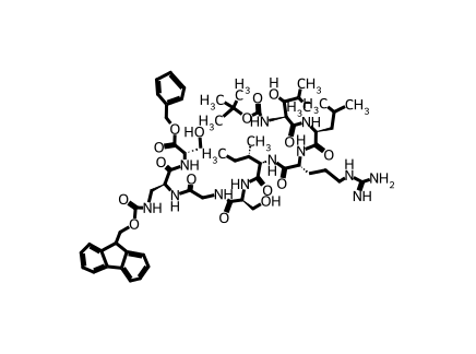 CC[C@H](C)[C@H](NC(=O)[C@@H](CCCNC(=N)N)NC(=O)[C@H](CC(C)C)NC(=O)[C@@H](NC(=O)OC(C)(C)C)C(O)C(C)C)C(=O)N[C@@H](CO)C(=O)NCC(=O)N[C@@H](CNC(=O)OCC1c2ccccc2-c2ccccc21)C(=O)N[C@@H](CO)C(=O)OCc1ccccc1